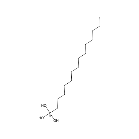 CCCCCCCCCCCCCC[PH](O)(O)O